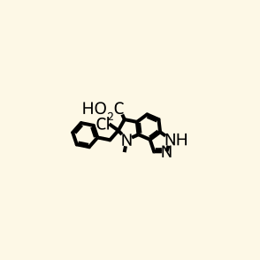 CN1c2c(ccc3[nH]ncc23)C(C(=O)O)C1(Cl)Cc1ccccc1